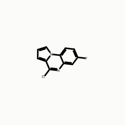 Fc1ccc2c(c1)nc(Cl)c1cccn12